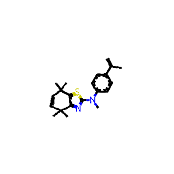 C=C(C)c1ccc(N(C)c2nc3c(s2)C(C)(C)C=CC3(C)C)cc1